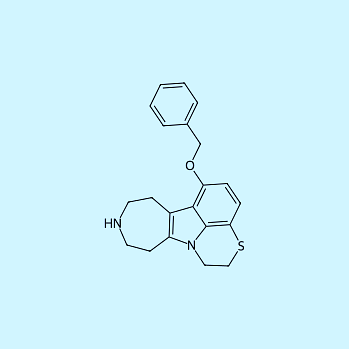 c1ccc(COc2ccc3c4c2c2c(n4CCS3)CCNCC2)cc1